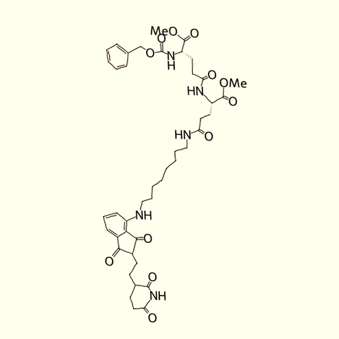 COC(=O)[C@H](CCC(=O)NCCCCCCCCNc1cccc2c1C(=O)C(CCC1CCC(=O)NC1=O)C2=O)NC(=O)CC[C@H](NC(=O)OCc1ccccc1)C(=O)OC